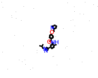 Cc1ccc(-c2cnn(CC(C)C)c2)cc1NC(=O)c1ccc(OCc2ccccn2)cc1